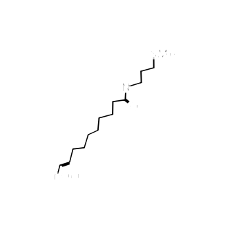 CCCCCCCCC=CCCCCCCCC(=O)NCCCSC